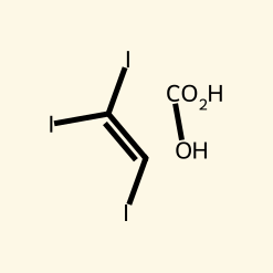 IC=C(I)I.O=C(O)O